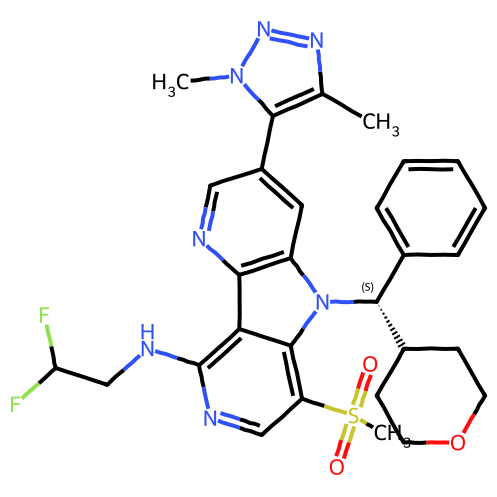 Cc1nnn(C)c1-c1cnc2c3c(NCC(F)F)ncc(S(C)(=O)=O)c3n([C@H](c3ccccc3)C3CCOCC3)c2c1